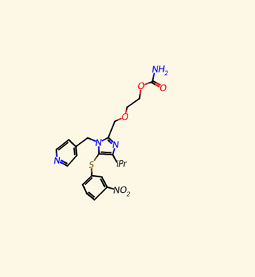 CC(C)c1nc(COCCOC(N)=O)n(Cc2ccncc2)c1Sc1cccc([N+](=O)[O-])c1